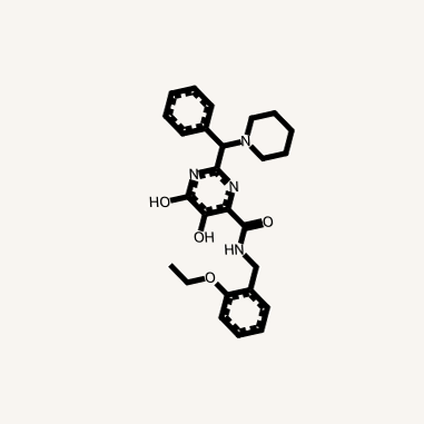 CCOc1ccccc1CNC(=O)c1nc(C(c2ccccc2)N2CCCCC2)nc(O)c1O